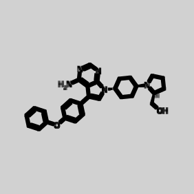 Nc1ncnc2c1c(-c1ccc(Oc3ccccc3)cc1)cn2[C@H]1CC[C@H](N2CCC[C@H]2CO)CC1